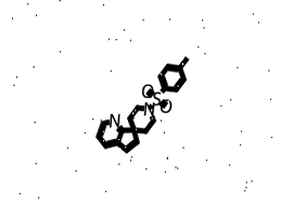 Cc1ccc(S(=O)(=O)N2CCC3(C=Cc4cccnc43)CC2)cc1